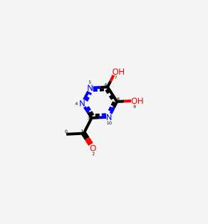 CC(=O)c1nnc(O)c(O)n1